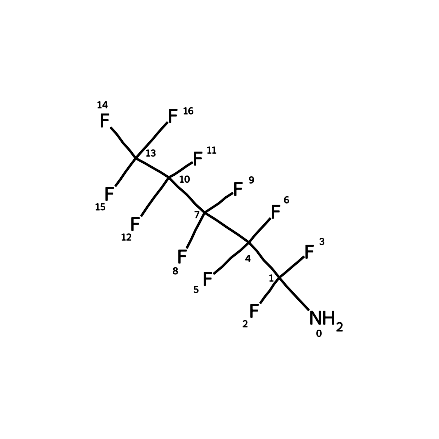 NC(F)(F)C(F)(F)C(F)(F)C(F)(F)C(F)(F)F